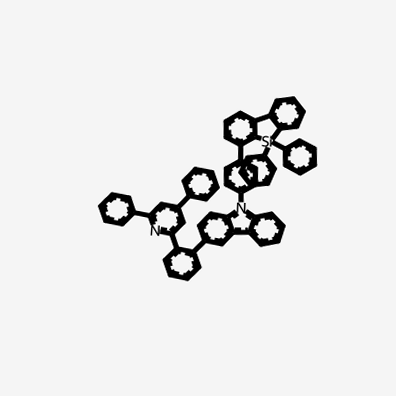 c1ccc(-c2cc(-c3ccccc3)nc(-c3ccccc3-c3ccc4c(c3)c3ccccc3n4-c3ccc(-c4cccc5c4[Si](c4ccccc4)(c4ccccc4)c4ccccc4-5)cc3)c2)cc1